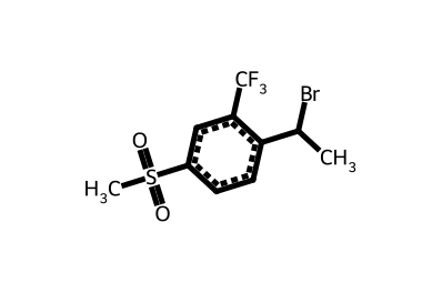 CC(Br)c1ccc(S(C)(=O)=O)cc1C(F)(F)F